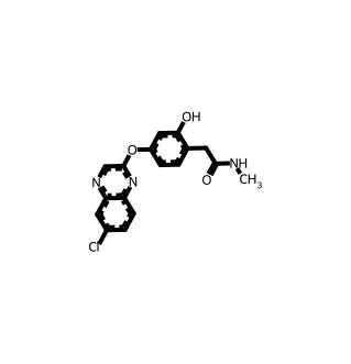 CNC(=O)Cc1ccc(Oc2cnc3cc(Cl)ccc3n2)cc1O